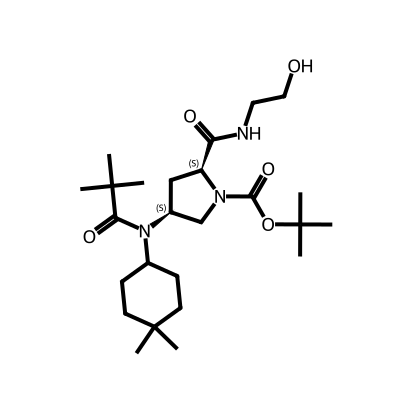 CC1(C)CCC(N(C(=O)C(C)(C)C)[C@H]2C[C@@H](C(=O)NCCO)N(C(=O)OC(C)(C)C)C2)CC1